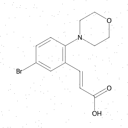 O=C(O)/C=C/c1cc(Br)ccc1N1CCOCC1